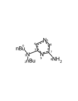 CCCCN(CCCC)c1cncc(N)n1